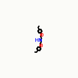 CCc1ccc(OCCNCCOc2ccc(CC)cc2)cc1